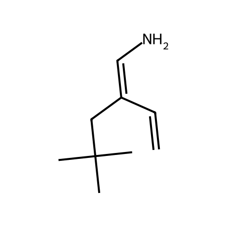 C=C/C(=C\N)CC(C)(C)C